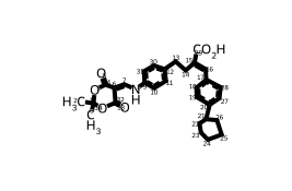 CC1(C)OC(=O)C(=CNc2ccc(CC/C(=C\c3ccc(C4CCCCC4)cc3)C(=O)O)cc2)C(=O)O1